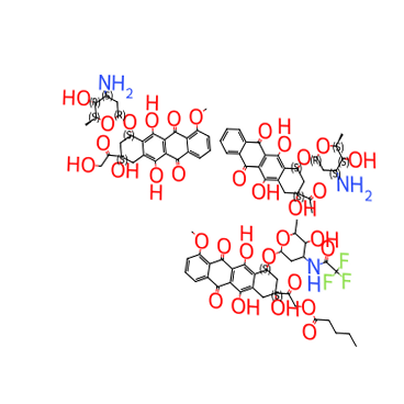 CC(=O)[C@]1(O)Cc2c(O)c3c(c(O)c2[C@@H](O[C@H]2C[C@H](N)[C@H](O)[C@H](C)O2)C1)C(=O)c1ccccc1C3=O.CCCCC(=O)OCC(=O)[C@]1(O)Cc2c(O)c3c(c(O)c2[C@@H](OC2CC(NC(=O)C(F)(F)F)C(O)C(C)O2)C1)C(=O)c1c(OC)cccc1C3=O.COc1cccc2c1C(=O)c1c(O)c3c(c(O)c1C2=O)C[C@@](O)(C(=O)CO)C[C@@H]3O[C@H]1C[C@H](N)[C@@H](O)[C@H](C)O1